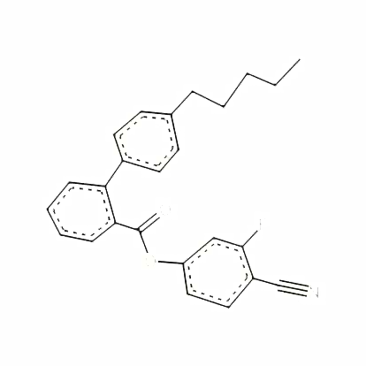 CCCCCc1ccc(-c2ccccc2C(=O)Oc2ccc(C#N)c(F)c2)cc1